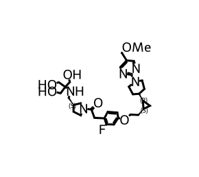 COCc1cnc(N2CCC([C@H]3C[C@H]3CCOc3ccc(CC(=O)N4CC[C@@H](CNC(CO)(CO)CO)C4)c(F)c3)CC2)nc1